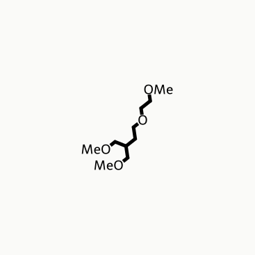 COCCOCCC(COC)COC